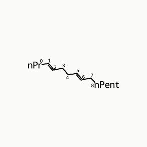 [CH2]CCC=CCCC=CCCCCCC